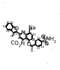 Cc1c(-c2cc(C(=O)O)c3c(O[C@H](C)c4ccc(S(N)(=O)=O)cc4)ccc(C)c3n2)oc2ccccc12.[Na]